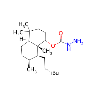 CC[C@@H](C)CC[C@H]1[C@@H](C)CC[C@H]2C(C)(C)CCC(OC(=O)NN)[C@]12C